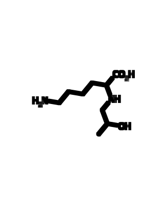 CC(O)CNC(CCCCN)C(=O)O